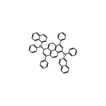 C1=C(c2ccccc2)c2ccc3c(N(c4ccccc4)c4ccc5ccccc5c4)cc(-c4ccccc4)c4c3c2C(=CC4)C1N(c1ccccc1)c1cccc2ccccc12